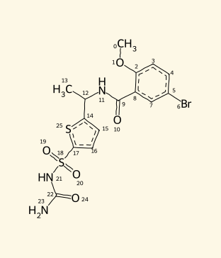 COc1ccc(Br)cc1C(=O)NC(C)c1ccc(S(=O)(=O)NC(N)=O)s1